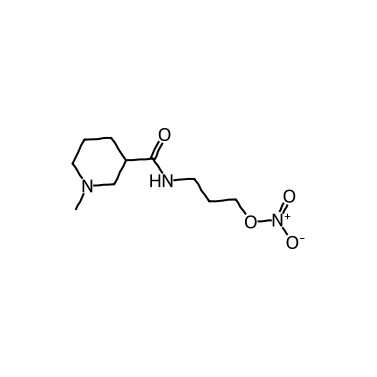 CN1CCCC(C(=O)NCCCO[N+](=O)[O-])C1